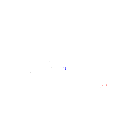 OCCCc1ccc2ccccc2n1